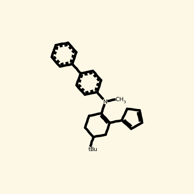 CN(C1=C(C2=CC=CC2)CC(C(C)(C)C)CC1)c1ccc(-c2ccccc2)cc1